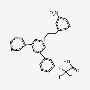 O=C(O)C(F)(F)F.O=[N+]([O-])c1cccc(CC[n+]2cc(-c3ccccc3)cc(-c3ccccc3)c2)c1